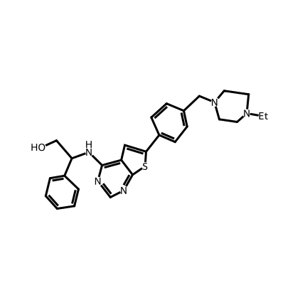 CCN1CCN(Cc2ccc(-c3cc4c(NC(CO)c5ccccc5)ncnc4s3)cc2)CC1